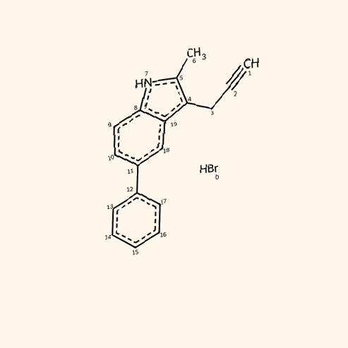 Br.C#CCc1c(C)[nH]c2ccc(-c3ccccc3)cc12